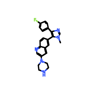 Cn1cnc(-c2ccc(F)cc2)c1-c1ccc2ncc(N3CCNCC3)cc2c1